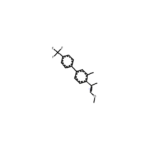 CO/C=C(\C)c1ccc(-c2ccc(C(F)(F)F)cc2)cc1C